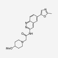 COC1CCN(CC(=O)Nc2cc3cc(-c4cnc(C)o4)ccc3nn2)CC1